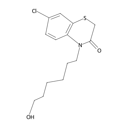 O=C1CSc2cc(Cl)ccc2N1CCCCCCO